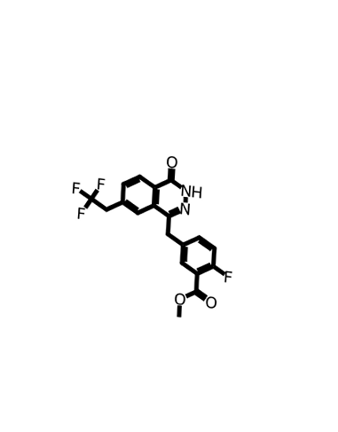 COC(=O)c1cc(Cc2n[nH]c(=O)c3ccc(CC(F)(F)F)cc23)ccc1F